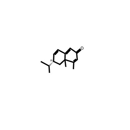 CC1=CC(=O)C=C2C=C[C@@H](C(C)C)CC12C